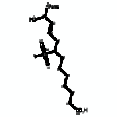 CCCCCC(O)/C=C/CC(CCCCCCC(=O)O)S(C)(=O)=O